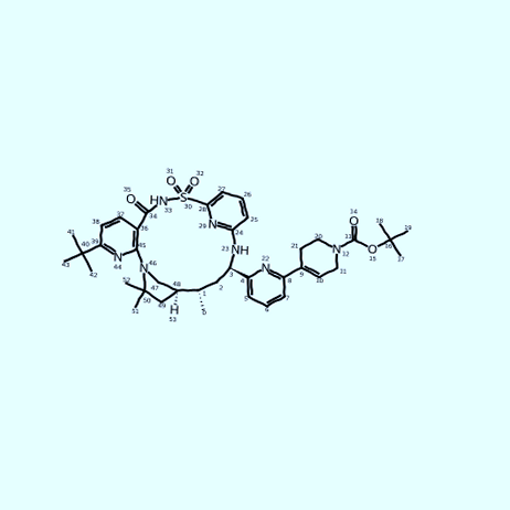 C[C@H]1C[C@H](c2cccc(C3=CCN(C(=O)OC(C)(C)C)CC3)n2)Nc2cccc(n2)S(=O)(=O)NC(=O)c2ccc(C(C)(C)C)nc2N2C[C@@H]1CC2(C)C